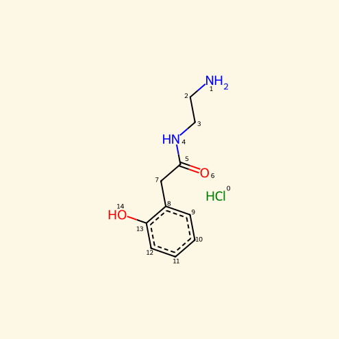 Cl.NCCNC(=O)Cc1ccccc1O